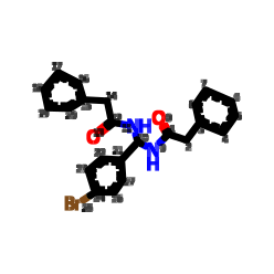 O=C(Cc1ccccc1)NC(NC(=O)Cc1ccccc1)c1ccc(Br)cc1